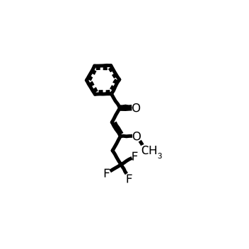 CO/C(=C\C(=O)c1ccccc1)CC(F)(F)F